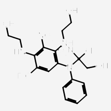 O=[N+]([O-])c1c(NCCO)c(N(c2ccccc2)C(Cl)(CO)[N+](=O)[O-])cc(C(F)(F)F)c1NCCO